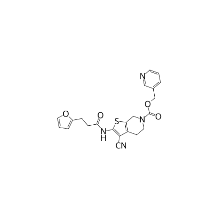 N#Cc1c(NC(=O)CCc2ccco2)sc2c1CCN(C(=O)OCc1cccnc1)C2